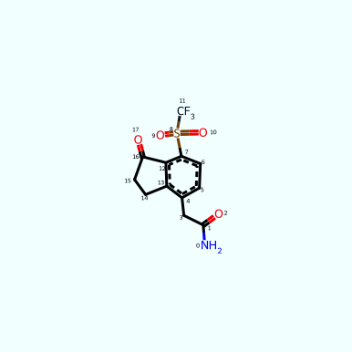 NC(=O)Cc1ccc(S(=O)(=O)C(F)(F)F)c2c1CCC2=O